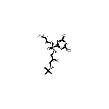 CC(C)(C)OCC(Cl)COP(=O)(OCCCl)c1nc(Cl)nc(Cl)n1